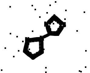 [c]1nc(-n2cccn2)cs1